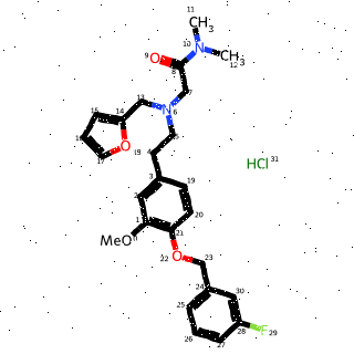 COc1cc(CCN(CC(=O)N(C)C)Cc2ccco2)ccc1OCc1cccc(F)c1.Cl